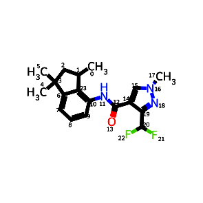 CC1CC(C)(C)c2cccc(NC(=O)c3cn(C)nc3C(F)F)c21